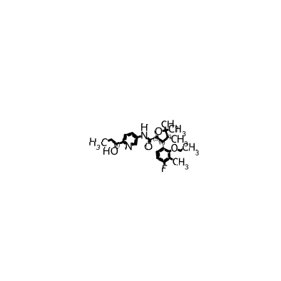 CCOc1c([C@@H]2[C@@H](C(=O)Nc3ccc([C@H](O)CC)nc3)OC(C)(C)[C@@H]2C)ccc(F)c1C